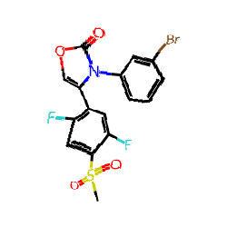 CS(=O)(=O)c1cc(F)c(-c2coc(=O)n2-c2cccc(Br)c2)cc1F